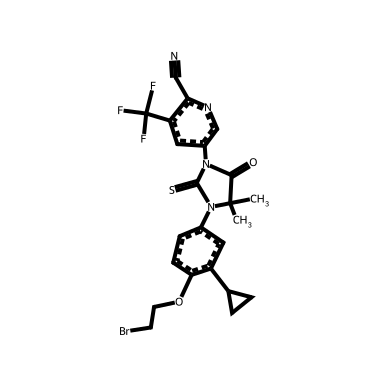 CC1(C)C(=O)N(c2cnc(C#N)c(C(F)(F)F)c2)C(=S)N1c1ccc(OCCBr)c(C2CC2)c1